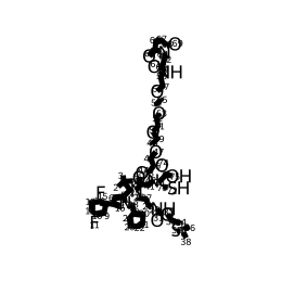 CC(C)(C)[C@H](c1cc(-c2cc(F)ccc2F)cn1Cc1ccccc1)N(CCCNC(=O)OCC[Si](C)(C)C)C(=O)CN(C(=O)CCOCCOCCOCCOCCNC(=O)CN1C(=O)C=CC1=O)[C@@H](CS)C(=O)O